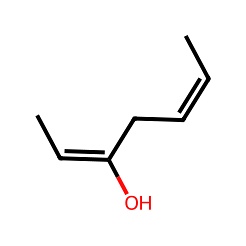 C/C=C\C/C(O)=C\C